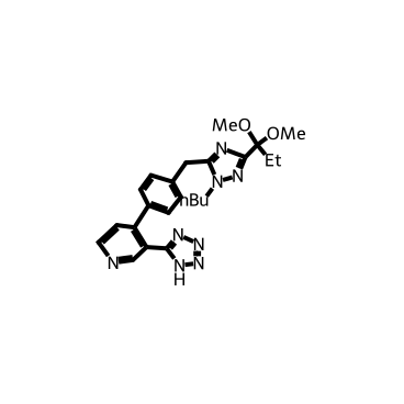 CCCCn1nc(C(CC)(OC)OC)nc1Cc1ccc(-c2ccncc2-c2nnn[nH]2)cc1